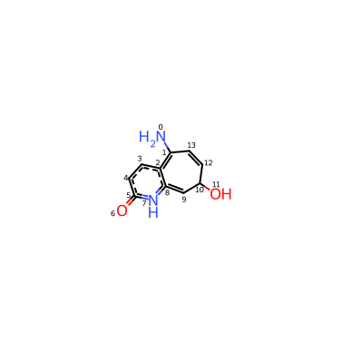 NC1=c2ccc(=O)[nH]c2=CC(O)C=C1